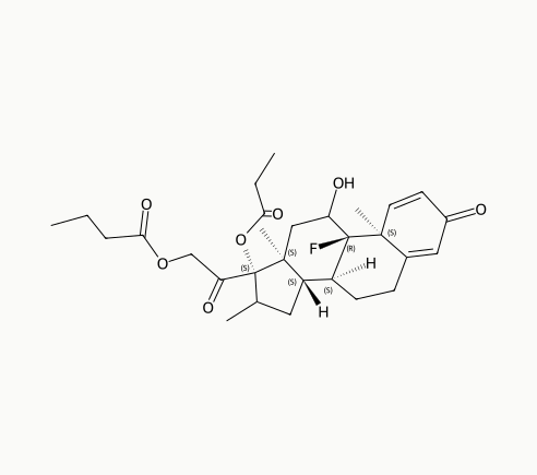 CCCC(=O)OCC(=O)[C@]1(OC(=O)CC)C(C)C[C@H]2[C@@H]3CCC4=CC(=O)C=C[C@]4(C)[C@@]3(F)C(O)C[C@@]21C